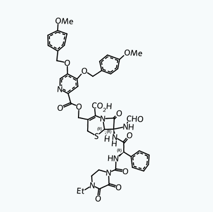 CCN1CCN(C(=O)N[C@@H](C(=O)N[C@]2(NC=O)C(=O)N3C(C(=O)O)=C(COC(=O)c4cc(OCc5ccc(OC)cc5)c(OCc5ccc(OC)cc5)cn4)CS[C@@H]32)c2ccccc2)C(=O)C1=O